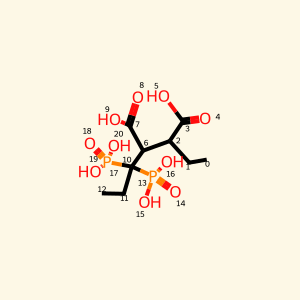 CCC(C(=O)O)C(C(=O)O)C(CC)(P(=O)(O)O)P(=O)(O)O